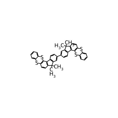 CC1(C)c2cc(-c3ccc4c(c3)C(C)(C)c3ccc5c(c3-4)Sc3ccccc3S5)ccc2-c2c1ccc1c2Sc2ccccc2S1